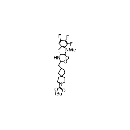 CNC(=O)[C@@H](Cc1cc(F)c(F)c(F)c1)NC(=O)C[C@H]1CCC2(CCN(C(=O)OC(C)(C)C)CC2)C1